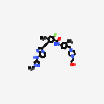 Cc1cc(F)c(C(=O)Nc2ccc(CN3CCN(CCO)CC3)c(C(F)(F)F)c2)cc1C#Cc1cnc2c(Nc3cnn(C)c3)cccn12